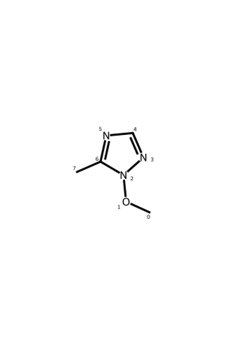 COn1ncnc1C